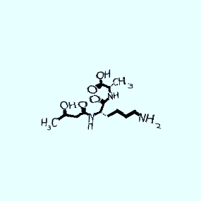 CC(O)CC(=O)N[C@@H](CCCCN)C(=O)N[C@@H](C)C(=O)O